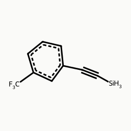 FC(F)(F)c1cccc(C#C[SiH3])c1